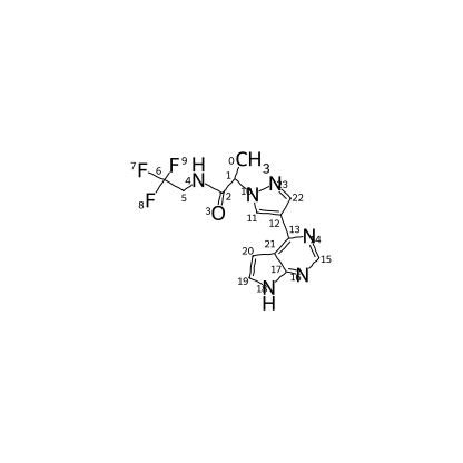 CC(C(=O)NCC(F)(F)F)n1cc(-c2ncnc3[nH]ccc23)cn1